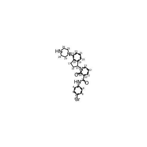 O=C(Nc1ccc(Br)cc1)c1cccn(C2CCc3c2cccc3N2CCNCC2)c1=O